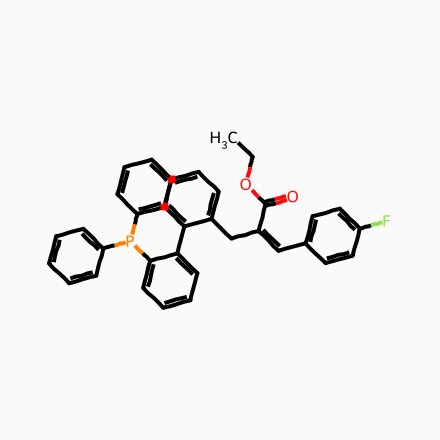 CCOC(=O)C(=Cc1ccc(F)cc1)Cc1ccccc1-c1ccccc1P(c1ccccc1)c1ccccc1